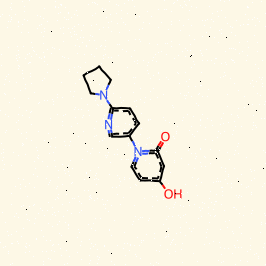 O=c1cc(O)ccn1-c1ccc(N2CCCC2)nc1